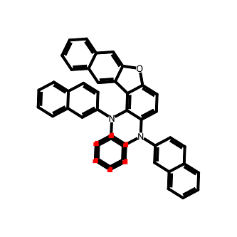 c1ccc(N(c2ccc3ccccc3c2)c2ccc3oc4cc5ccccc5cc4c3c2N(c2ccccc2)c2ccc3ccccc3c2)cc1